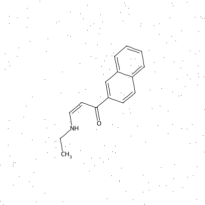 CCN/C=C\C(=O)c1ccc2ccccc2c1